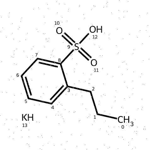 CCCc1ccccc1S(=O)(=O)O.[KH]